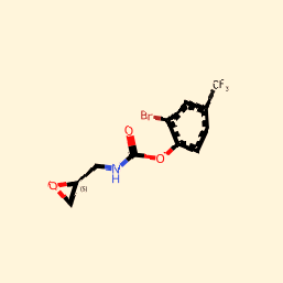 O=C(NC[C@H]1CO1)Oc1ccc(C(F)(F)F)cc1Br